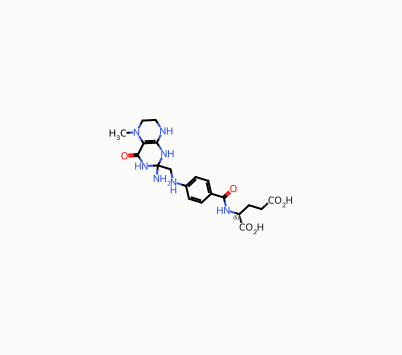 CN1CCNC2=C1C(=O)NC(N)(CNc1ccc(C(=O)N[C@@H](CCC(=O)O)C(=O)O)cc1)N2